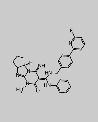 Cn1c(=O)/c(=C(/NCc2ccc(-c3cccc(F)n3)cc2)Nc2ccccc2)c(=N)n2c1=NC1CCC[C@@H]12